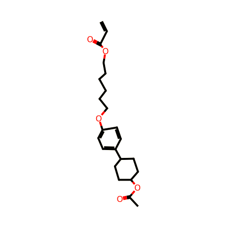 C=CC(=O)OCCCCCCOc1ccc(C2CCC(OC(C)=O)CC2)cc1